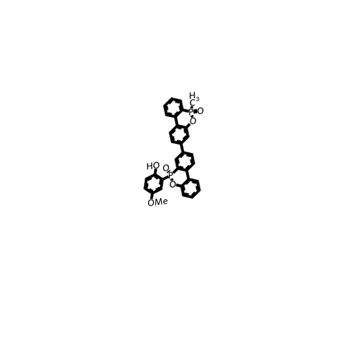 COc1ccc(O)c(P2(=O)Oc3ccccc3-c3ccc(-c4ccc5c(c4)OP(C)(=O)c4ccccc4-5)cc32)c1